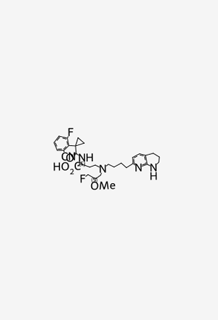 CO[C@H](CF)CN(CCCCc1ccc2c(n1)NCCC2)CC[C@H](NC(=O)C1(c2c(F)cccc2C#N)CC1)C(=O)O